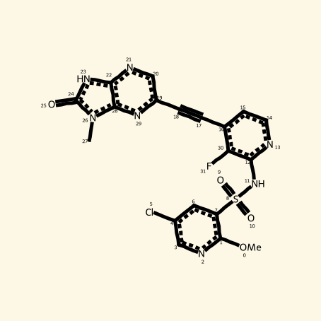 COc1ncc(Cl)cc1S(=O)(=O)Nc1nccc(C#Cc2cnc3[nH]c(=O)n(C)c3n2)c1F